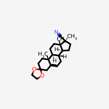 C[C@]12CCC3(CC1=CC[C@@H]1[C@@H]2CC[C@@]2(C)[C@H]1CC[C@]2(C)C#N)OCCO3